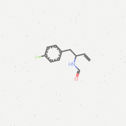 C=CC(Cc1ccc(F)cc1)NC=O